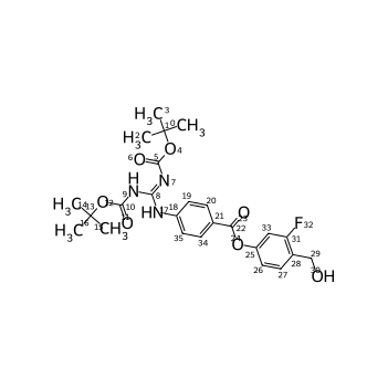 CC(C)(C)OC(=O)N=C(NC(=O)OC(C)(C)C)Nc1ccc(C(=O)Oc2ccc(CO)c(F)c2)cc1